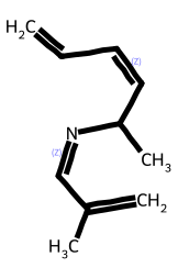 C=C/C=C\C(C)/N=C\C(=C)C